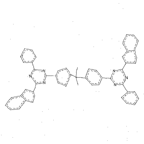 CC(C)(c1ccc(-c2nc(-c3ccccc3)nc(-c3ccc4ccccc4c3)n2)cc1)c1ccc(-c2nc(-c3ccccc3)nc(-c3ccc4ccccc4c3)n2)cc1